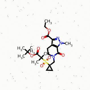 CCOC(=O)c1nn(C)c2c1CCN(CC1(S(=O)(=O)C(C)(C)C(=O)OC(C)(C)C)CC1)C2=O